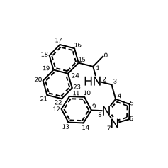 CC(NCc1ccnn1-c1ccccc1)c1cccc2ccccc12